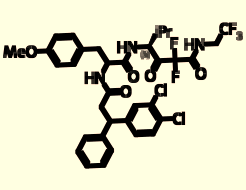 COc1ccc(CC(NC(=O)CC(c2ccccc2)c2ccc(Cl)c(Cl)c2)C(=O)N[C@H](C(=O)C(F)(F)C(=O)NCC(F)(F)F)C(C)C)cc1